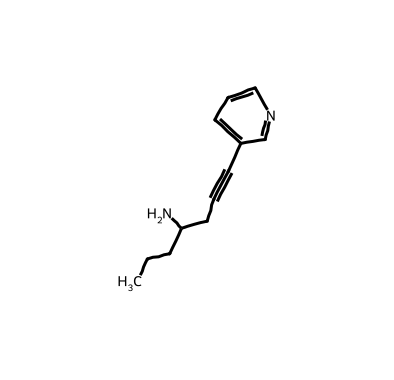 CCCC(N)CC#Cc1cccnc1